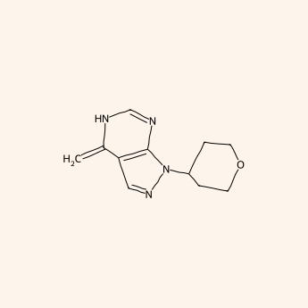 C=C1NC=Nc2c1cnn2C1CCOCC1